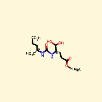 CCCCCCCOC(=O)CC[C@H](NC(=O)N[C@@H](CCC(=O)O)C(=O)O)C(O)O